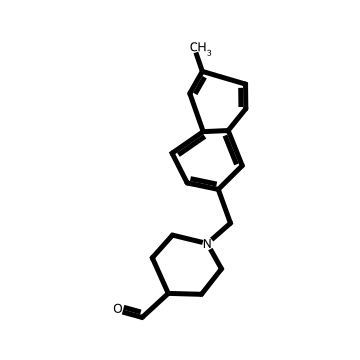 Cc1ccc2cc(CN3CCC(C=O)CC3)ccc2c1